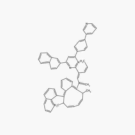 C=C(/C=C(\C=C/C)c1nc(-c2ccc(-c3cccnc3)cc2)cc(-c2ccc3ccccc3c2)n1)/C1=c2\cccc\c2=C(/c2cccc3ccccc23)C(C)/C=C\C=C/C1C